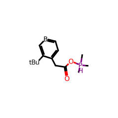 CC(C)(C)c1cbccc1CC(=O)O[PH](C)(C)C